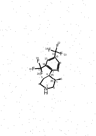 C[C@H]1CNCC[C@H]1c1ccc(C(F)(F)F)cc1C(F)(F)F